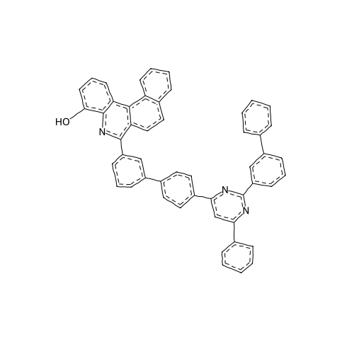 Oc1cccc2c1nc(-c1cccc(-c3ccc(-c4cc(-c5ccccc5)nc(-c5cccc(-c6ccccc6)c5)n4)cc3)c1)c1ccc3ccccc3c12